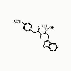 CC(=O)Nc1ccc(CC(=O)NC(Cc2coc3ccccc23)B(O)O)cc1